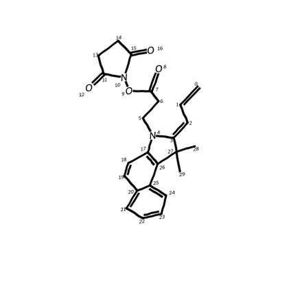 C=CC=C1N(CCC(=O)ON2C(=O)CCC2=O)c2ccc3ccccc3c2C1(C)C